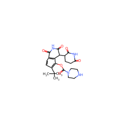 CC(C)(C)c1ccc2c(c1OC(=O)N1CCNCC1)C(C1CCC(=O)NC1=O)C(=O)NC2=O